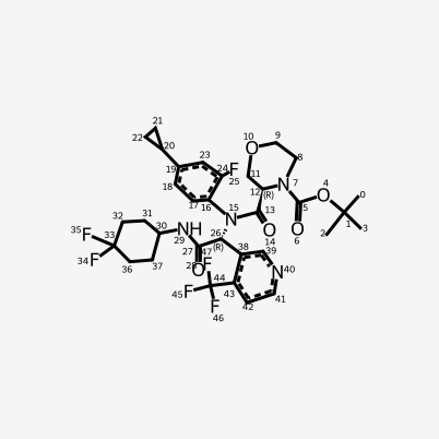 CC(C)(C)OC(=O)N1CCOC[C@@H]1C(=O)N(c1ccc(C2CC2)cc1F)[C@@H](C(=O)NC1CCC(F)(F)CC1)c1cnccc1C(F)(F)F